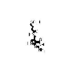 Nc1nc2[nH]cc(CNC(=O)CCCS(=O)(=O)O)c2c(=O)[nH]1